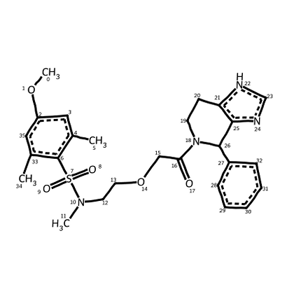 COc1cc(C)c(S(=O)(=O)N(C)CCOCC(=O)N2CCc3[nH]cnc3C2c2ccccc2)c(C)c1